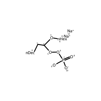 CCCCCCCCCCCC(OCCCCCC)OOP(=O)([O-])[O-].[Na+].[Na+]